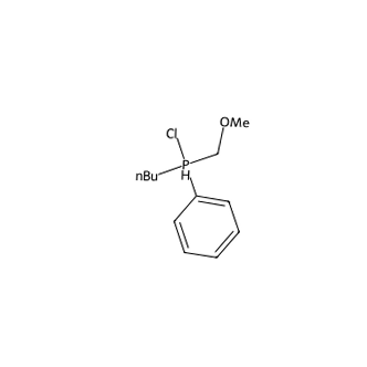 CCCC[PH](Cl)(COC)c1ccccc1